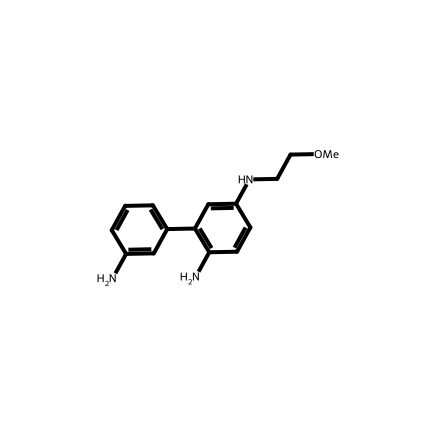 COCCNc1ccc(N)c(-c2cccc(N)c2)c1